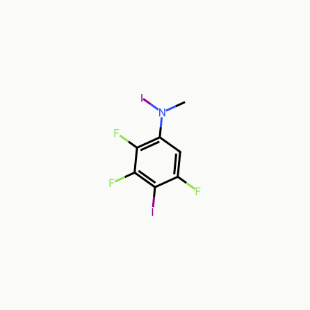 CN(I)c1cc(F)c(I)c(F)c1F